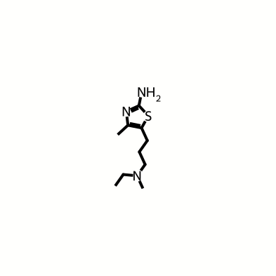 CCN(C)CCCc1sc(N)nc1C